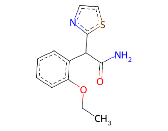 CCOc1ccccc1C(C(N)=O)c1nccs1